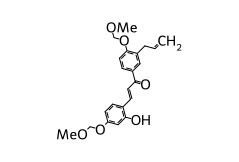 C=CCc1cc(C(=O)/C=C/c2ccc(OCOC)cc2O)ccc1OCOC